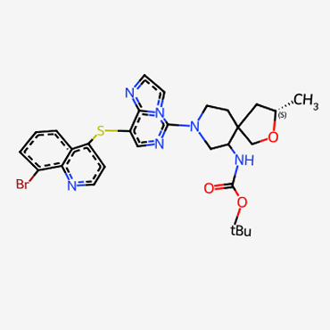 C[C@H]1CC2(CCN(c3ncc(Sc4ccnc5c(Br)cccc45)c4nccn34)CC2NC(=O)OC(C)(C)C)CO1